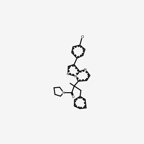 CC(Cc1ccccc1)(C(=O)N1CCCC1)c1ccnc2c(-c3ccc(Cl)cc3)cnn12